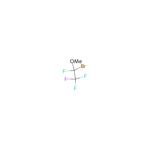 COC(F)(Br)C(F)(F)I